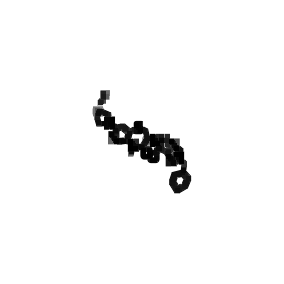 CN1C(=O)[C@@H](NC(=O)c2ncn(Cc3ccccc3)n2)CSc2cc(N3CC[C@H](CF)C3)ncc21